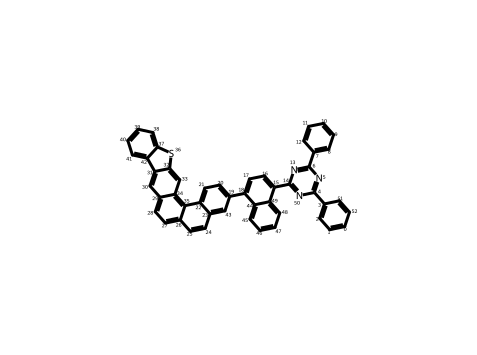 c1ccc(-c2nc(-c3ccccc3)nc(-c3ccc(-c4ccc5c(ccc6ccc7cc8c(cc7c65)sc5ccccc58)c4)c4ccccc34)n2)cc1